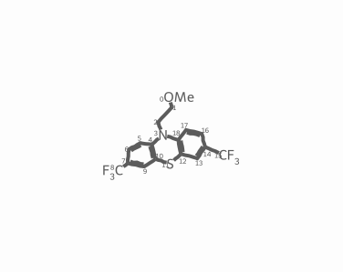 COCCN1c2ccc(C(F)(F)F)cc2Sc2cc(C(F)(F)F)ccc21